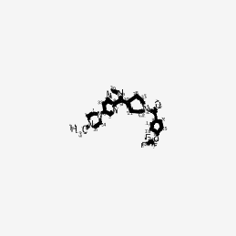 CN1CCN(c2cnc3c(C4CCN(C(=O)c5ccc(OC(F)(F)F)cc5)CC4)ncnc3c2)CC1